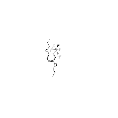 CCCOc1ccc(OCCC)c(S(F)(F)(F)(F)F)c1F